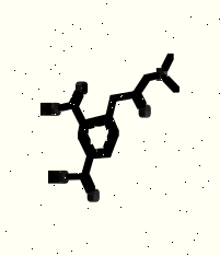 CN(C)CC(=O)Cc1ccc(C(=O)O)cc1C(=O)O